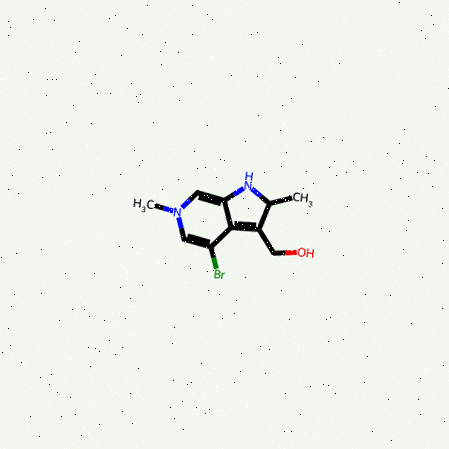 CC1NC2=CN(C)C=C(Br)C2=C1CO